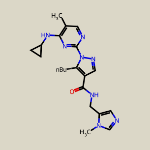 CCCCc1c(C(=O)NCc2cncn2C)cnn1-c1ncc(C)c(NC2CC2)n1